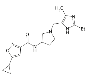 CCc1nc(C)c(CN2CCC(NC(=O)c3cc(C4CC4)on3)C2)[nH]1